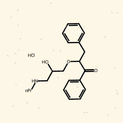 CCCNCC(O)COC(Cc1ccccc1)C(=O)c1ccccc1.Cl